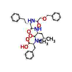 CC(C)C[C@H](NC(=O)[C@H](CCc1ccccc1)NC(=O)COCc1ccccc1)C(=O)N[C@@H](Cc1ccccc1)C(=O)O